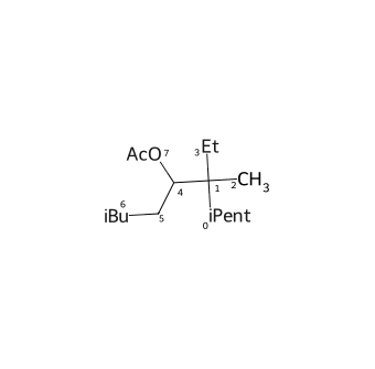 CCCC(C)C(C)(CC)C(CC(C)CC)OC(C)=O